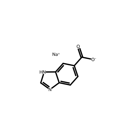 O=C([O-])c1ccc2nc[nH]c2c1.[Na+]